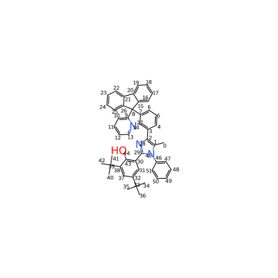 Cc1c(-c2cccc(C3(c4ccccn4)c4ccccc4-c4ccccc43)c2)nc(-c2cc(C(C)(C)C)cc(C(C)(C)C)c2O)n1-c1ccccc1